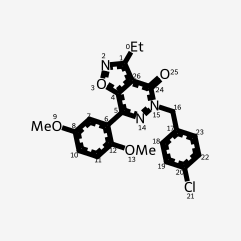 CCc1noc2c(-c3cc(OC)ccc3OC)nn(Cc3ccc(Cl)cc3)c(=O)c12